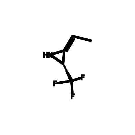 C/C=C1/N[C@H]1C(F)(F)F